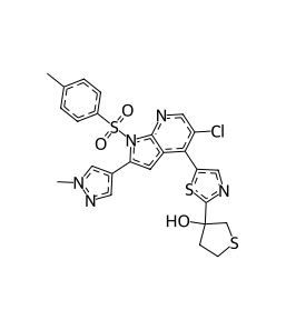 Cc1ccc(S(=O)(=O)n2c(-c3cnn(C)c3)cc3c(-c4cnc(C5(O)CCSC5)s4)c(Cl)cnc32)cc1